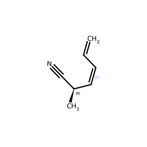 C=C/C=C\[C@@H](C)C#N